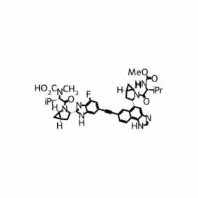 COC(=O)N[C@H](C(=O)N1[C@@H]2C[C@@H]2C[C@H]1c1cc2nc[nH]c2c2ccc(C#Cc3cc(F)c4nc([C@@H]5C[C@H]6C[C@H]6N5C(=O)[C@H](C(C)C)N(C)C(=O)O)[nH]c4c3)cc12)C(C)C